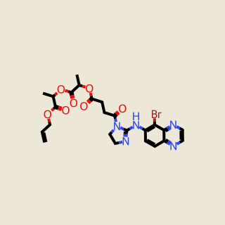 C=CCOC(=O)C(C)OC(=O)C(C)OC(=O)CCC(=O)N1CCN=C1Nc1ccc2nccnc2c1Br